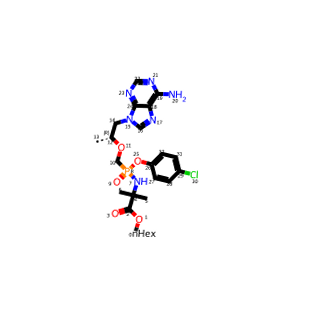 CCCCCCOC(=O)C(C)(C)NP(=O)(CO[C@H](C)Cn1cnc2c(N)ncnc21)Oc1ccc(Cl)cc1